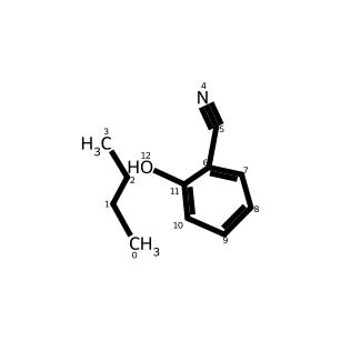 CCCC.N#Cc1ccccc1O